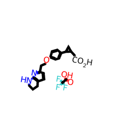 O=C(O)C(F)(F)F.O=C(O)CC1CC1c1ccc(OCCc2ccc3c(n2)NCCC3)cc1